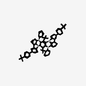 CC(C)(C)c1ccc(-c2ccc3c(c2)-c2cccc4c2B3c2c(c(C(C)(C)C)c3c(c2C(C)(C)C)N(c2ccccc2)c2cccc5c2B3c2ccc(-c3ccc(C(C)(C)C)cc3)cc2-5)N4c2ccccc2)cc1